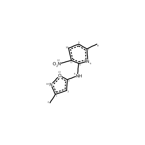 Cc1cc(Nc2nc(C)ccc2[N+](=O)[O-])on1